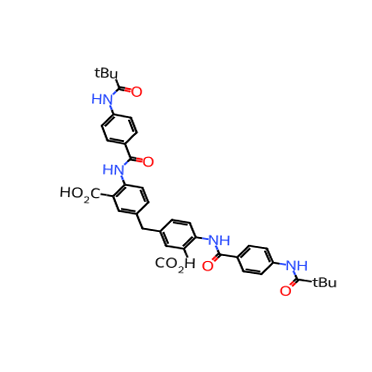 CC(C)(C)C(=O)Nc1ccc(C(=O)Nc2ccc(Cc3ccc(NC(=O)c4ccc(NC(=O)C(C)(C)C)cc4)c(C(=O)O)c3)cc2C(=O)O)cc1